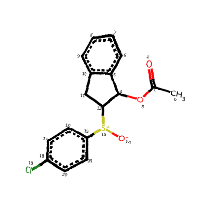 CC(=O)OC1c2ccccc2CC1[S+]([O-])c1ccc(Cl)cc1